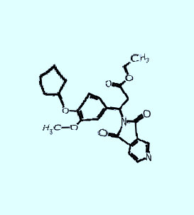 CCOC(=O)CC(c1ccc(OC2CCCC2)c(OC)c1)N1C(=O)c2ccncc2C1=O